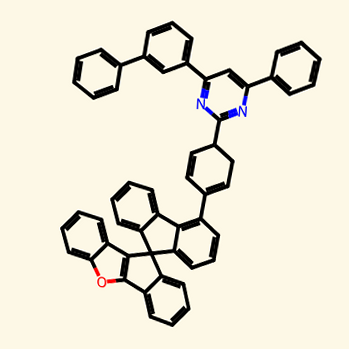 C1=CC(c2nc(-c3ccccc3)cc(-c3cccc(-c4ccccc4)c3)n2)CC=C1c1cccc2c1-c1ccccc1C21c2ccccc2-c2oc3ccccc3c21